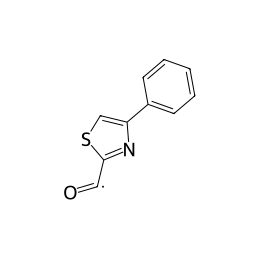 O=[C]c1nc(-c2ccccc2)cs1